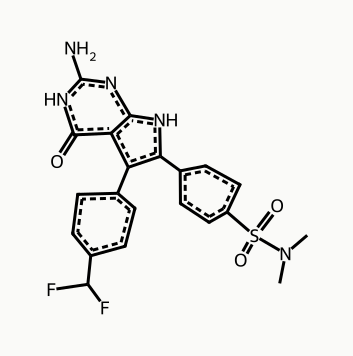 CN(C)S(=O)(=O)c1ccc(-c2[nH]c3nc(N)[nH]c(=O)c3c2-c2ccc(C(F)F)cc2)cc1